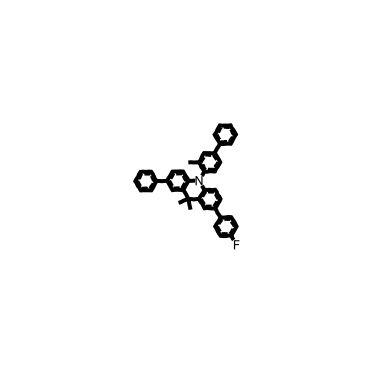 Cc1cc(-c2ccccc2)ccc1N1c2ccc(-c3ccccc3)cc2C(C)(C)c2cc(-c3ccc(F)cc3)ccc21